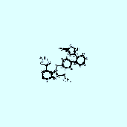 CCc1nc2cccc(C(=O)OC)c2n1Cc1ccc(-c2ccccc2-c2nc(=S)o[nH]2)cc1